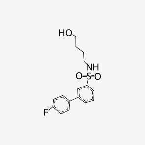 O=S(=O)(NCCCCO)c1cccc(-c2ccc(F)cc2)c1